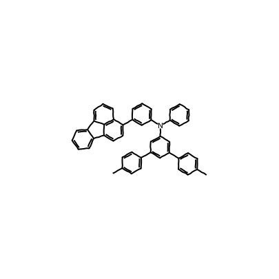 Cc1ccc(-c2cc(-c3ccc(C)cc3)cc(N(c3ccccc3)c3cccc(-c4ccc5c6c(cccc46)-c4ccccc4-5)c3)c2)cc1